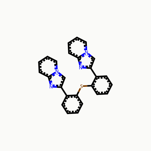 c1ccc(-c2cn3ccccc3n2)c(Sc2ccccc2-c2cn3ccccc3n2)c1